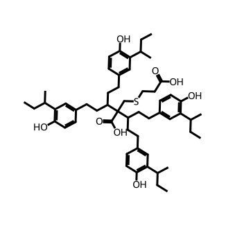 CCC(C)c1cc(CCC(CCc2ccc(O)c(C(C)CC)c2)C(CSCCC(=O)O)(C(=O)O)C(CCc2ccc(O)c(C(C)CC)c2)CCc2ccc(O)c(C(C)CC)c2)ccc1O